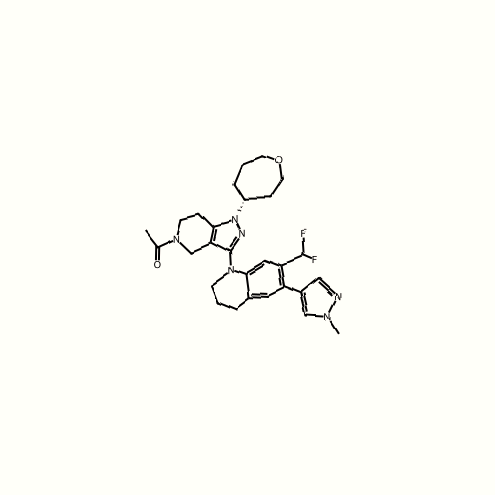 CC(=O)N1CCc2c(c(N3CCCc4cc(-c5cnn(C)c5)c(C(F)F)cc43)nn2[C@@H]2CCCOCC2)C1